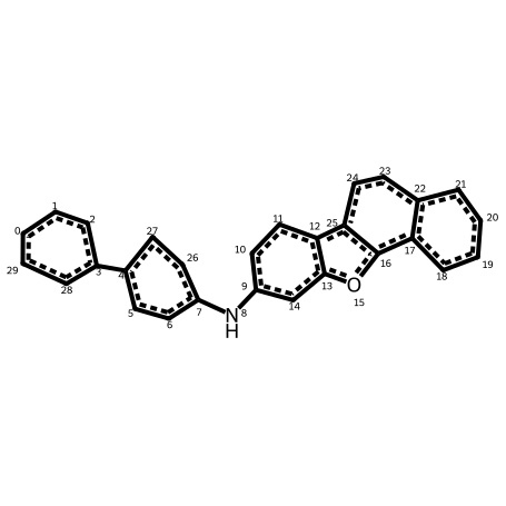 c1ccc(-c2ccc(Nc3ccc4c(c3)oc3c5ccccc5ccc43)cc2)cc1